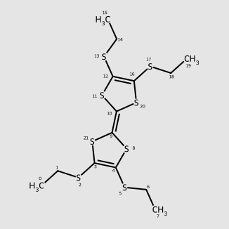 CCSC1=C(SCC)SC(=C2SC(SCC)=C(SCC)S2)S1